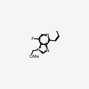 C/C=C\c1ncc(F)c2c1ncn2COC